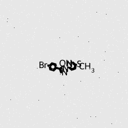 CSc1ccc(-n2ncc(-c3ccc(Br)cc3)c2O)nc1